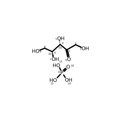 O=C(CO)[C@@H](O)[C@@H](O)CO.O=P(O)(O)O